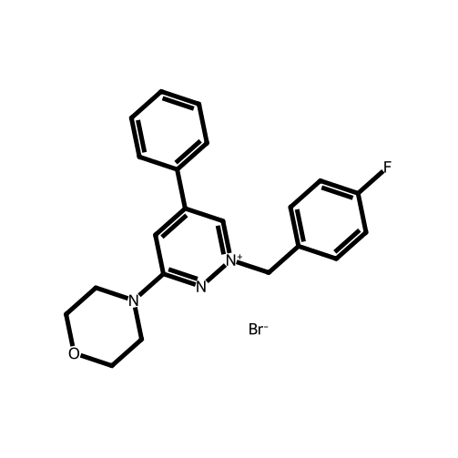 Fc1ccc(C[n+]2cc(-c3ccccc3)cc(N3CCOCC3)n2)cc1.[Br-]